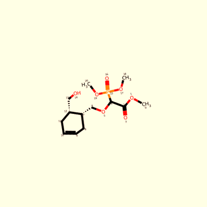 COC(=O)C(OC[C@@H]1CC=CC[C@@H]1CO)P(=O)(OC)OC